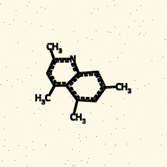 Cc1cc(C)c2c(C)cc(C)nc2c1